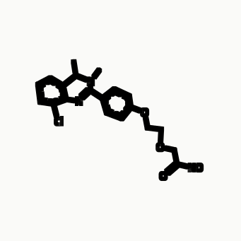 CC1c2cccc(Cl)c2N=C(c2ccc(OCCOCC(=O)N=O)cc2)N1C